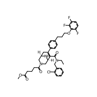 CCN(Cc1ccccc1Cl)C(=O)C1=C(c2ccc(CCCOc3c(F)ccc(F)c3F)cc2)C[C@@H]2CN(C(=O)CCCC(=O)OC)C[C@H]1N2